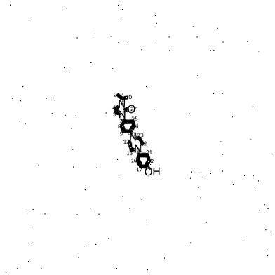 CC(C)n1ccn(-c2ccc(N3CCN(c4ccc(O)cc4)CC3)cc2)c1=O